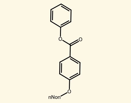 CCCCCCCCCOc1ccc(C(=O)Oc2ccccc2)cc1